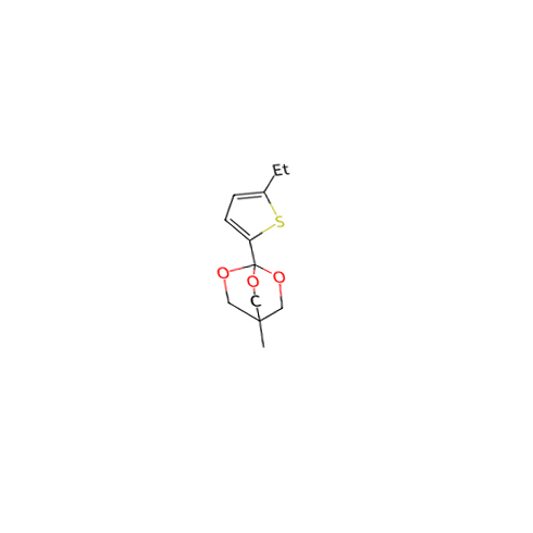 CCc1ccc(C23OCC(C)(CO2)CO3)s1